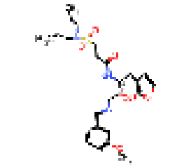 CCCN(CCC)S(=O)(=O)CCC(=O)N[C@@H](Cc1ccoc1)[C@@H](O)CNCc1cccc(OC)c1